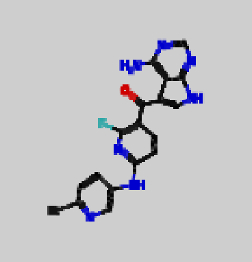 CCc1ccc(Nc2ccc(C(=O)c3c[nH]c4ncnc(N)c34)c(F)n2)cn1